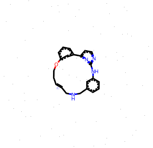 C1=C/CNCc2cccc(c2)Nc2nccc(n2)-c2cccc(c2)OCC/1